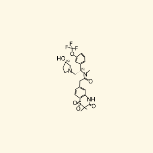 CN(C(=O)Cc1ccc2c(c1)NC(=O)C(C)(C)S2(=O)=O)[C@H](CN1CC[C@H](O)C1)c1cccc(OC(F)(F)F)c1